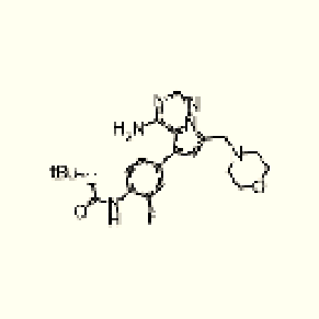 CC(C)(C)OC(=O)Nc1ccc(-c2cc(CN3CCOCC3)n3ncnc(N)c23)cc1F